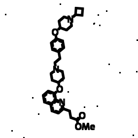 COC(=O)CCc1ccc2cccc(OC3CCN(CCc4ccc(OC5CCN(C6CCC6)CC5)cc4)CC3)c2n1